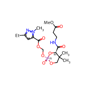 CCc1cc(C(=O)OCO[P@@]2(=O)OCC(C)(C)[C@H](C(=O)NCCC(=O)OC)O2)n(C)n1